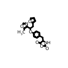 Cc1ocnc1C(Cc1ccco1)Oc1ccc(CC2NC(=O)OC2=O)cc1